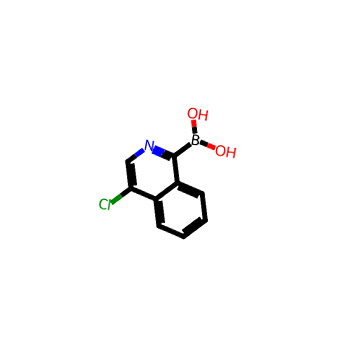 OB(O)c1ncc(Cl)c2ccccc12